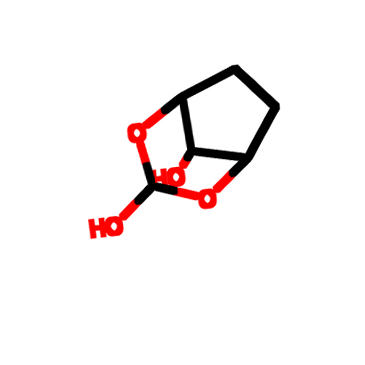 OC1OC2CCC(O1)C2O